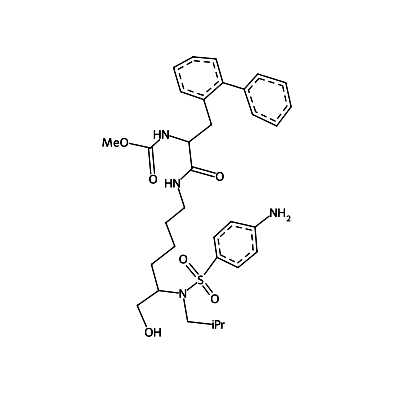 COC(=O)NC(Cc1ccccc1-c1ccccc1)C(=O)NCCCCC(CO)N(CC(C)C)S(=O)(=O)c1ccc(N)cc1